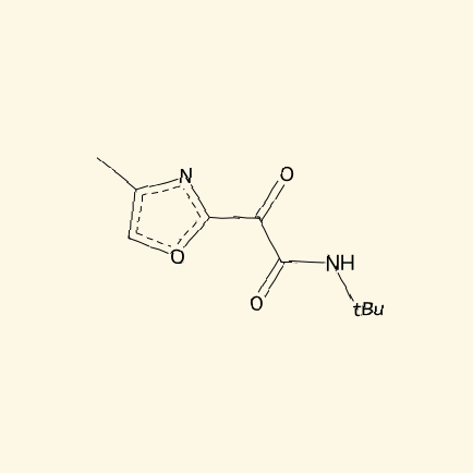 Cc1coc(C(=O)C(=O)NC(C)(C)C)n1